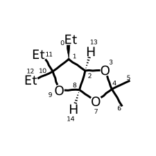 CC[C@H]1[C@H]2OC(C)(C)O[C@H]2OC1(CC)CC